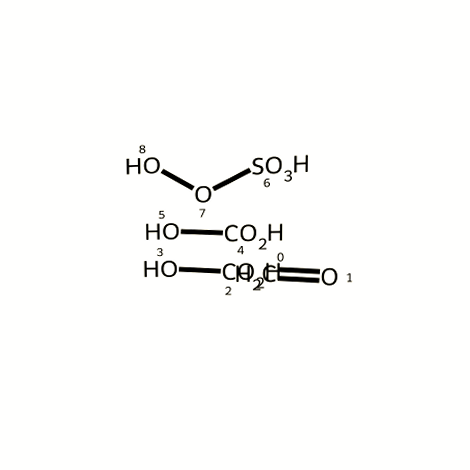 C=O.O=C(O)O.O=C(O)O.O=S(=O)(O)OO